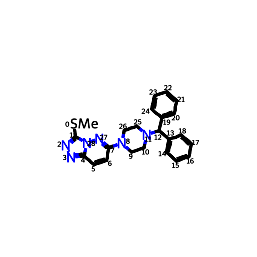 CSc1nnc2ccc(N3CCN(C(c4ccccc4)c4ccccc4)CC3)nn12